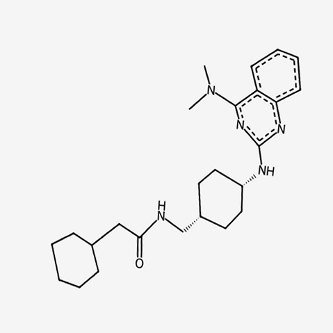 CN(C)c1nc(N[C@H]2CC[C@@H](CNC(=O)CC3CCCCC3)CC2)nc2ccccc12